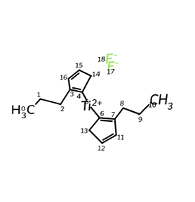 CCCC1=[C]([Ti+2][C]2=C(CCC)C=CC2)CC=C1.[F-].[F-]